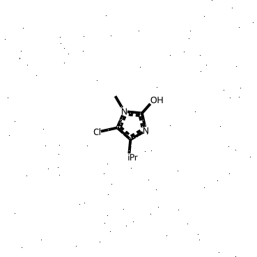 CC(C)c1nc(O)n(C)c1Cl